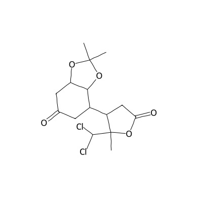 CC1(C)OC2CC(=O)CC(C3CC(=O)OC3(C)C(Cl)Cl)C2O1